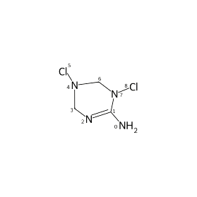 NC1=NCN(Cl)CN1Cl